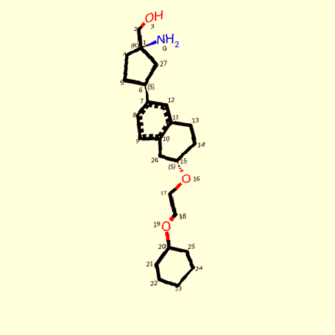 N[C@]1(CO)CC[C@H](c2ccc3c(c2)CC[C@H](OCCOC2CCCCC2)C3)C1